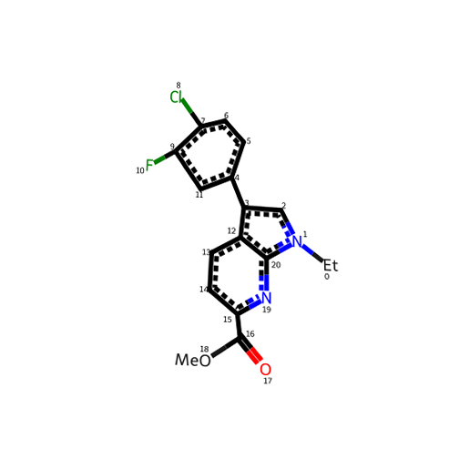 CCn1cc(-c2ccc(Cl)c(F)c2)c2ccc(C(=O)OC)nc21